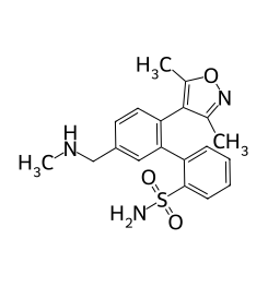 CNCc1ccc(-c2c(C)noc2C)c(-c2ccccc2S(N)(=O)=O)c1